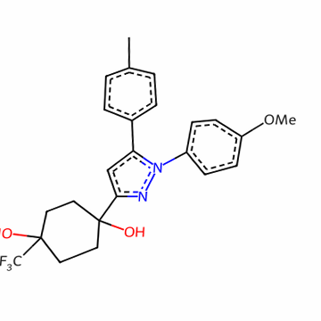 COc1ccc(-n2nc(C3(O)CCC(O)(C(F)(F)F)CC3)cc2-c2ccc(C)cc2)cc1